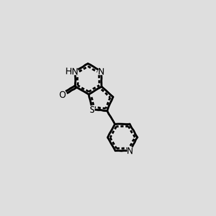 O=c1[nH]cnc2cc(-c3ccncc3)sc12